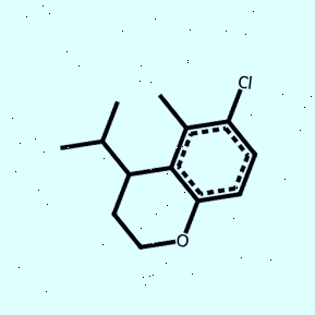 Cc1c(Cl)ccc2c1C(C(C)C)CCO2